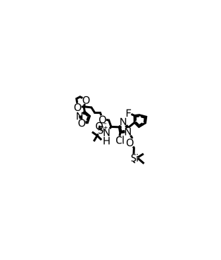 CC(C)(C)[S@@+]([O-])NC(COCCCC1(c2ccon2)OCCO1)c1nc(-c2ccccc2F)n(COCC[Si](C)(C)C)c1Cl